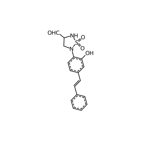 O=CC1CN(c2ccc(C=Cc3ccccc3)cc2O)S(=O)(=O)N1